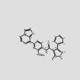 COc1nc(-c2nccn3ccnc23)ccc1NC(=O)c1c(-c2ccccc2)noc1C